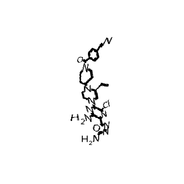 CC[C@H]1CN(c2nc(N)c(-c3nnc(N)o3)nc2Cl)CCN1C1CCN(C(=O)c2ccc(C#N)cc2)CC1